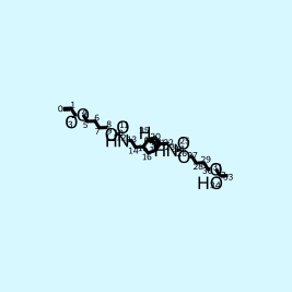 C=CC(=O)OCCCCOC(=O)NCCC1CC2C[C@@H]1CC2CNC(=O)OCCCCOC(C)O